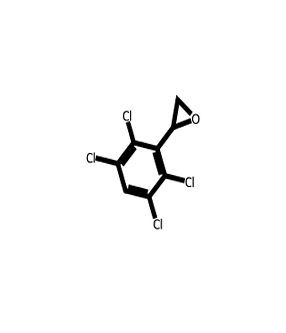 Clc1cc(Cl)c(Cl)c(C2CO2)c1Cl